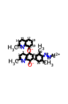 Cc1ccc2cccc([O-])c2n1.Cc1ccc2cccc([O-])c2n1.Cc1cccc(C)c1N=[N][Al+2]